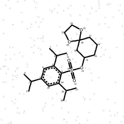 CC(C)c1cc(C(C)C)c(S(=O)(=O)OC2CCCC3(C2)OCCO3)c(C(C)C)c1